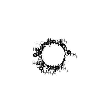 CCCC[C@H]1C(=O)N(C)[C@@H](CCCC)C(=O)N[C@@H](CC(C)C)C(=O)NCCCCC(=O)N[C@@H](Cc2ccc(C)cc2)C(=O)N2CCCC[C@H]2C(=O)N[C@@H](CC(N)=O)C(=O)N2CCC[C@H]2C(=O)N[C@@H](CN)C(=O)N[C@@H](CC(C)C)C(=O)N2C[C@H](O)C[C@H]2C(=O)N[C@@H](Cc2c[nH]c3ccccc23)C(=O)N[C@@H](CCN)C(=O)N[C@@H](Cc2cn(CC(=O)O)c3ccccc23)C(=O)N1C